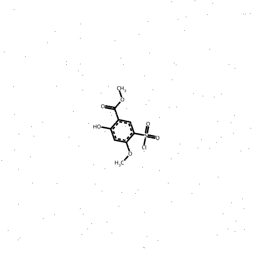 COC(=O)c1cc(S(=O)(=O)Cl)c(OC)cc1O